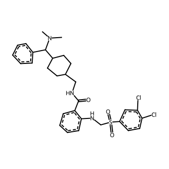 CN(C)C(c1ccccc1)C1CCC(CNC(=O)c2ccccc2NCS(=O)(=O)c2ccc(Cl)c(Cl)c2)CC1